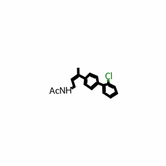 CC(=O)NC/C=C(/C)c1ccc(-c2ccccc2Cl)cc1